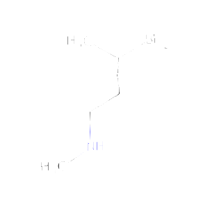 BC(C)CCNC